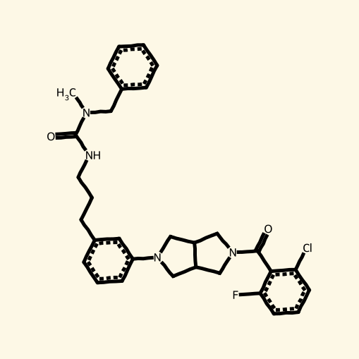 CN(Cc1ccccc1)C(=O)NCCCc1cccc(N2CC3CN(C(=O)c4c(F)cccc4Cl)CC3C2)c1